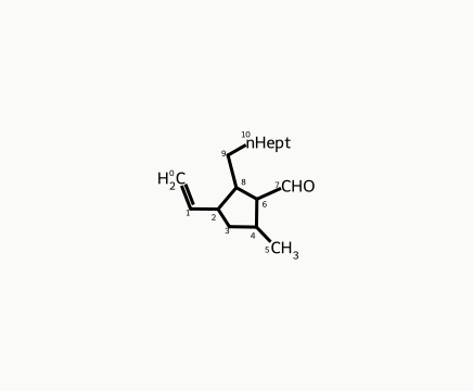 C=CC1CC(C)C(C=O)C1CCCCCCCC